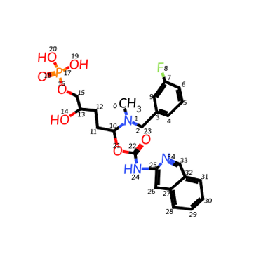 CN(Cc1cccc(F)c1)C(CCC(O)COP(=O)(O)O)OC(=O)Nc1cc2ccccc2cn1